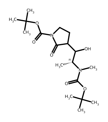 C[C@H](C(O)C1CCN(C(=O)OC(C)(C)C)C1=O)N(C)C(=O)OC(C)(C)C